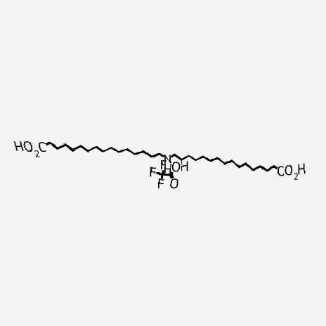 O=C(O)C(F)(F)F.O=C(O)CCCCCCCCCCCCCCCNCCCCCCCCCCCCCCCC(=O)O